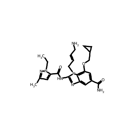 CCn1nc(C)cc1C(=O)Nc1nc2cc(C(N)=O)cc(OCC3CC3)c2n1C/C=C/CN